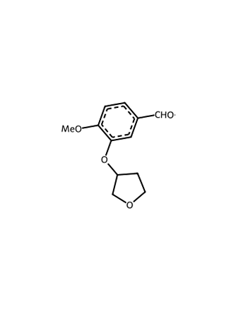 COc1ccc([C]=O)cc1OC1CCOC1